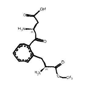 COC(=O)[C@@H](N)Cc1ccccc1C(=O)[C@@H](N)CC(=O)O